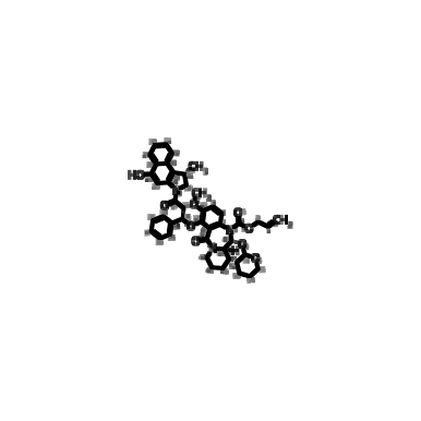 C=CCOC(=O)N1c2ccc(OC)c(O[C@H](CC(=O)N3C[C@@H](C)c4c3cc(O)c3ccccc43)c3ccccc3)c2C(=O)N2CCCC[C@H]2[C@H]1OC1CCCCO1